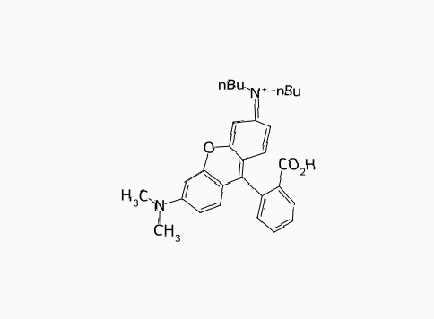 CCCC[N+](CCCC)=c1ccc2c(-c3ccccc3C(=O)O)c3ccc(N(C)C)cc3oc-2c1